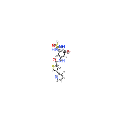 Cc1cccnc1-c1csc(C(=O)Nc2cc(Br)cc(NS(C)(=N)=O)c2)c1